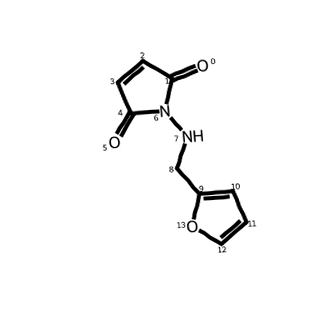 O=C1C=CC(=O)N1NCc1ccco1